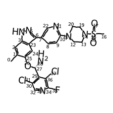 Cc1cc2[nH]nc(-c3ccc(N4CCN(S(C)(=O)=O)CC4)nc3)c2cc1O[C@H](N)c1c(Cl)cnc(F)c1Cl